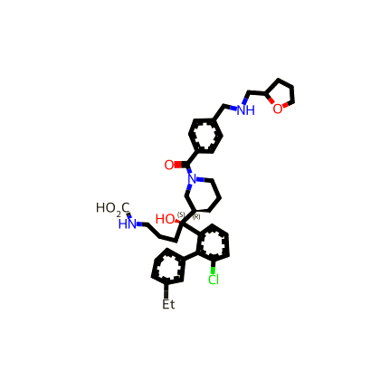 CCc1cccc(-c2c(Cl)cccc2[C@](O)(CCCNC(=O)O)[C@@H]2CCCN(C(=O)c3ccc(CNCC4CCCO4)cc3)C2)c1